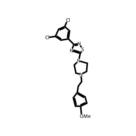 COc1ccc(CCN2CCN(c3nc(-c4cc(Cl)cc(Cl)c4)ns3)CC2)cc1